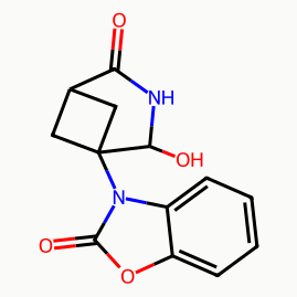 O=C1NC(O)C2(n3c(=O)oc4ccccc43)CC1C2